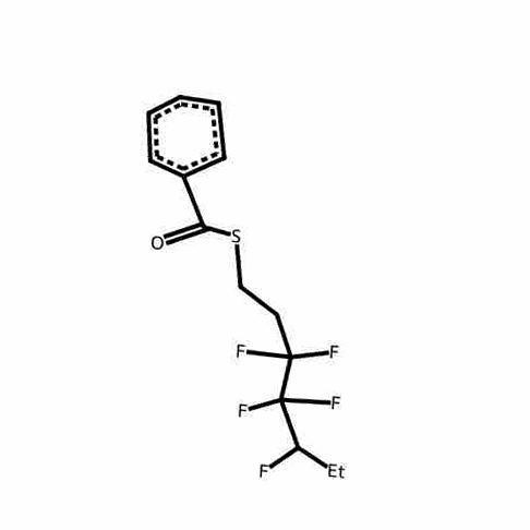 CCC(F)C(F)(F)C(F)(F)CCSC(=O)c1ccccc1